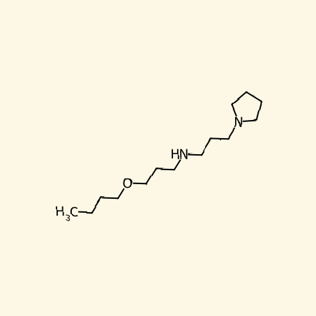 CCCCOCCCNCCCN1CCCC1